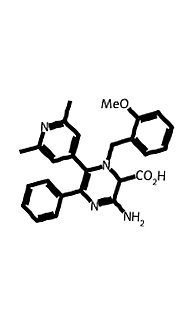 COc1ccccc1CN1C(c2cc(C)nc(C)c2)=C(c2ccccc2)N=C(N)C1C(=O)O